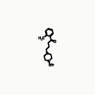 CCCN1CCN(CCCC(=O)c2ccccc2C)CC1